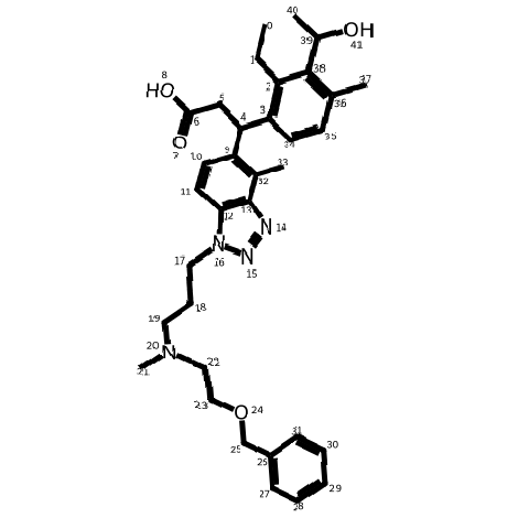 CCc1c(C(CC(=O)O)c2ccc3c(nnn3CCCN(C)CCOCc3ccccc3)c2C)ccc(C)c1C(C)O